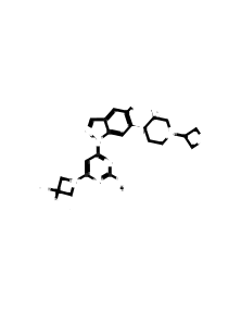 COc1nc(N2CC(C)(O)C2)cc(-n2ncc3cc(C)c([C@@H]4CCN(C5COC5)C[C@@H]4F)cc32)n1